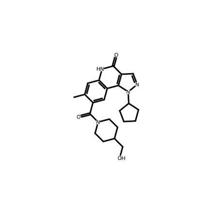 Cc1cc2[nH]c(=O)c3cnn(C4CCCC4)c3c2cc1C(=O)N1CCC(CO)CC1